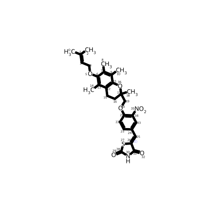 CC(C)=CCOc1c(C)c(C)c2c(c1C)CCC(C)(COc1ccc(/C=C3\SC(=O)NC3=O)cc1[N+](=O)[O-])O2